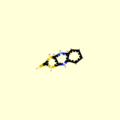 S=c1sc2nc3ccccc3nc2s1